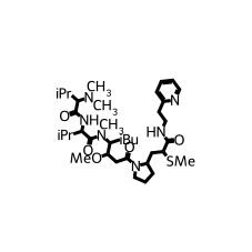 CCC(C)C(C(CC(=O)N1CCCC1CC(SC)C(=O)NCCc1ccccn1)OC)N(C)C(=O)C(NC(=O)C(C(C)C)N(C)C)C(C)C